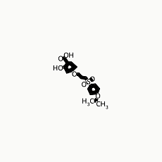 CC(C)Oc1ccc(S(=O)(=O)CCCOc2ccc(C(=O)O)c(O)c2)cc1